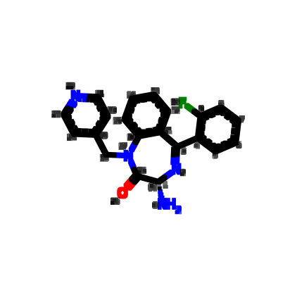 N[C@H]1N=C(c2ccccc2F)c2ccccc2N(Cc2ccncc2)C1=O